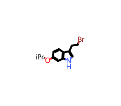 CC(C)Oc1ccc2c(CCBr)c[nH]c2c1